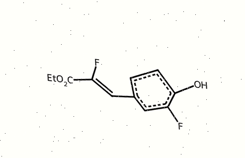 CCOC(=O)C(F)=Cc1ccc(O)c(F)c1